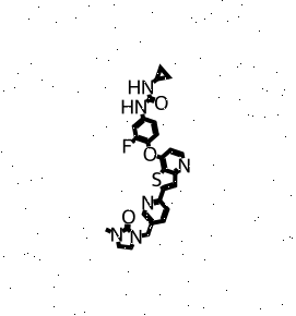 CN1CCN(Cc2ccc(-c3cc4nccc(Oc5ccc(NC(=O)NC6CC6)cc5F)c4s3)nc2)C1=O